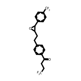 O=C(CCC(F)(F)F)c1ccc(CCC2OC2c2ccc(C(F)(F)F)cc2)cc1